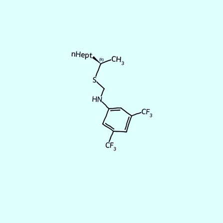 CCCCCCC[C@@H](C)SCNc1cc(C(F)(F)F)cc(C(F)(F)F)c1